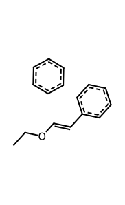 CCOC=Cc1ccccc1.c1ccccc1